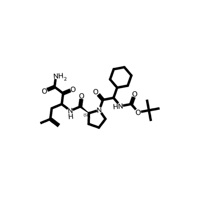 C=C(C)CC(NC(=O)[C@@H]1CCCN1C(=O)C(NC(=O)OC(C)(C)C)C1CCCCC1)C(=O)C(N)=O